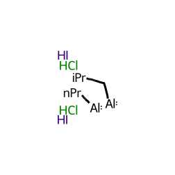 CC(C)[CH2][Al].CC[CH2][Al].Cl.Cl.I.I